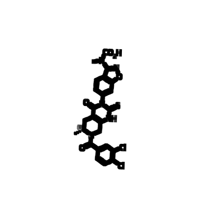 C[C@@H]1Cc2c([nH]c(=S)n(-c3ccc4c(N(C)C(=O)O)noc4c3)c2=O)CN1C(=O)c1ccc(Cl)c(Cl)c1